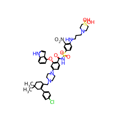 CC1(C)CCC(CN2CCN(c3ccc(C(=O)NS(=O)(=O)c4ccc(NCCCN5CCS(O)(O)CC5)c([N+](=O)[O-])c4)c(Oc4cccc5[nH]ccc45)c3)CC2)=C(c2ccc(Cl)cc2)C1